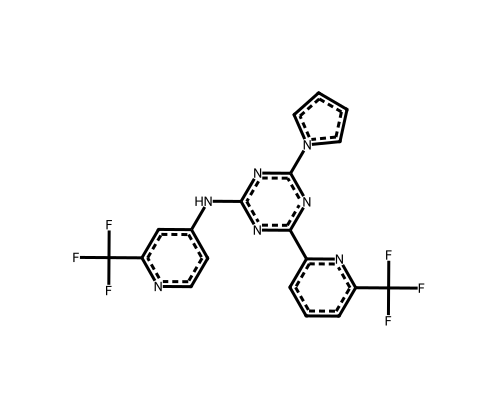 FC(F)(F)c1cc(Nc2nc(-c3cccc(C(F)(F)F)n3)nc(-n3cccc3)n2)ccn1